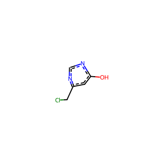 Oc1cc(CCl)ncn1